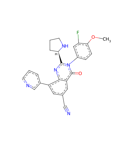 COc1ccc(-n2c([C@H]3CCCN3)nc3c(-c4cccnc4)cc(C#N)cc3c2=O)cc1F